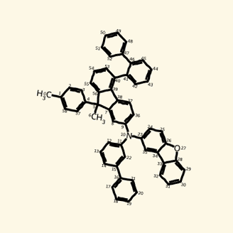 Cc1ccc(C2(C)c3cc(N(c4cccc(-c5ccccc5)c4)c4ccc5oc6ccccc6c5c4)ccc3-c3c(-c4ccccc4-c4ccccc4)cccc32)cc1